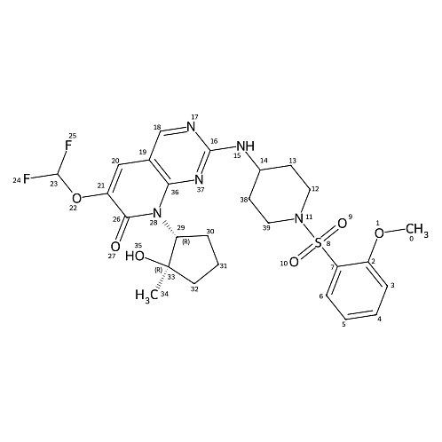 COc1ccccc1S(=O)(=O)N1CCC(Nc2ncc3cc(OC(F)F)c(=O)n([C@@H]4CCC[C@@]4(C)O)c3n2)CC1